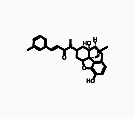 Cc1cccc(/C=C/C(=O)N(C)C2CC3Oc4c(O)ccc5c4[C@@]34CCN(C)[C@H](C5)[C@]4(O)C2)c1